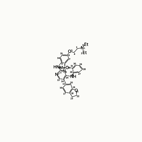 CCN(CC)CCOc1ccc(Nc2ncc(-c3ccc4c(c3)OCC4)c(Nc3ccccc3OC)n2)cc1